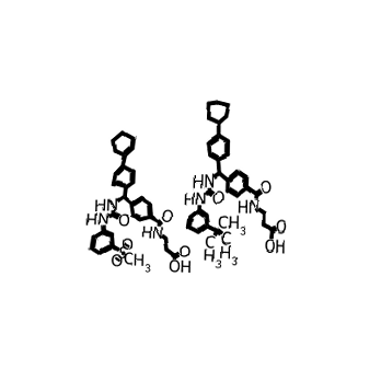 CC(C)(C)c1cccc(NC(=O)NC(c2ccc(C(=O)NCCC(=O)O)cc2)c2ccc(C3CCCCC3)cc2)c1.CS(=O)(=O)c1cccc(NC(=O)NC(c2ccc(C(=O)NCCC(=O)O)cc2)c2ccc(C3=CCCCC3)cc2)c1